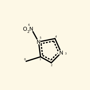 Cc1cncn1[N+](=O)[O-]